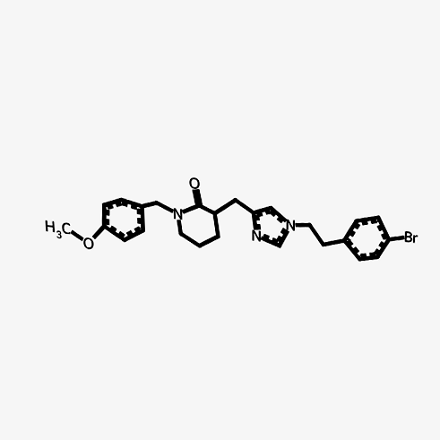 COc1ccc(CN2CCCC(Cc3cn(CCc4ccc(Br)cc4)cn3)C2=O)cc1